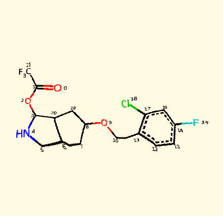 O=C(OC1NCC2CC(OCc3ccc(F)cc3Cl)CC21)C(F)(F)F